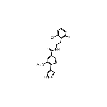 COc1cc(C(=O)NCCc2c(F)cccc2Cl)ccc1-c1cn[nH]c1